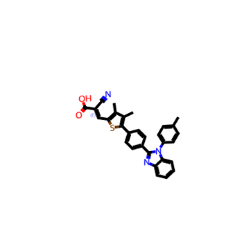 Cc1ccc(-n2c(-c3ccc(-c4sc(/C=C(\C#N)C(=O)O)c(C)c4C)cc3)nc3ccccc32)cc1